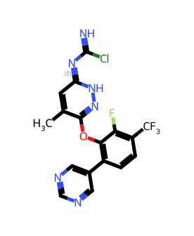 Cc1c/c(=N/C(=N)Cl)[nH]nc1Oc1c(-c2cncnc2)ccc(C(F)(F)F)c1F